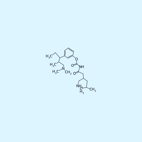 CCC(c1cccc(OC(=O)NC(=O)CC(CN)CC(C)C)c1)C(C)CN(C)C